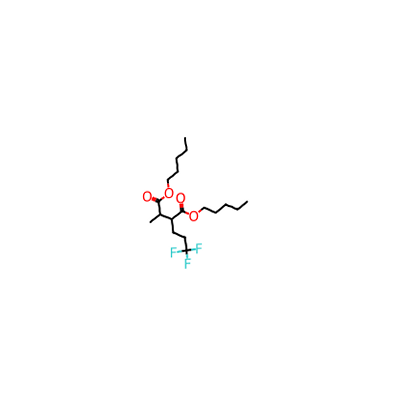 CCCCCOC(=O)C(C)C(CCC(F)(F)F)C(=O)OCCCCC